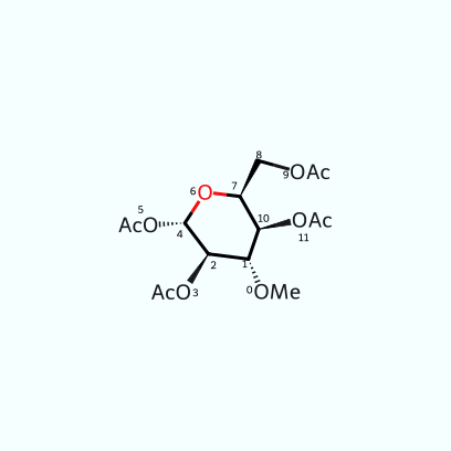 CO[C@@H]1[C@@H](OC(C)=O)[C@H](OC(C)=O)O[C@@H](COC(C)=O)[C@H]1OC(C)=O